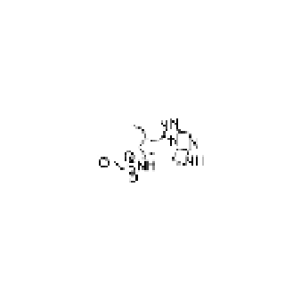 CC[C@@H]1C[C@H](NS(=O)(=O)CCOC)C[C@@H]1c1nnc2cnc3[nH]ccc3n12